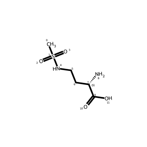 CS(=O)(=O)NCC[C@H](N)C(=O)O